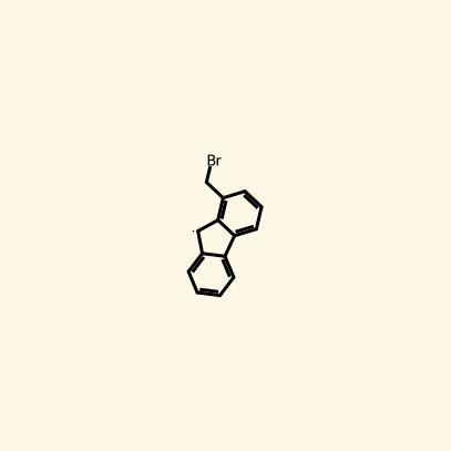 BrCc1cccc2c1[CH]c1ccccc1-2